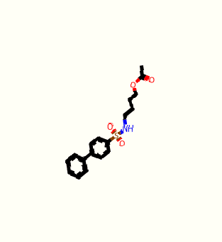 CC(=O)OCCCCNS(=O)(=O)c1ccc(-c2ccccc2)cc1